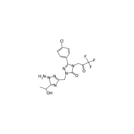 CC(O)c1nc(Cn2nc(-c3ccc(Cl)cc3)n(CC(=O)C(F)(F)F)c2=O)nn1N